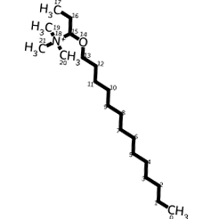 CCCCCCCCCCCCCCOC(CC)[N+](C)(C)C